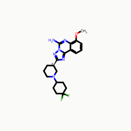 COc1cccc2c1nc(N)n1nc([C@@H]3CCCN(C4CCC(F)(F)CC4)C3)nc21